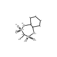 O=S1(=O)OC2CCCCC2OS(=O)(=O)C1F